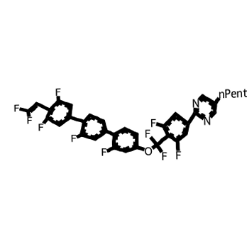 CCCCCc1cnc(-c2cc(F)c(C(F)(F)Oc3ccc(-c4ccc(-c5cc(F)c(C=C(F)F)c(F)c5)c(F)c4)c(F)c3)c(F)c2)nc1